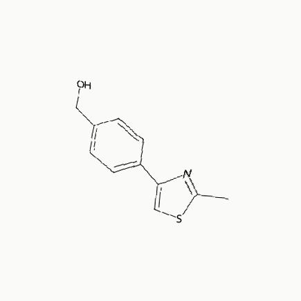 Cc1nc(-c2ccc(CO)cc2)cs1